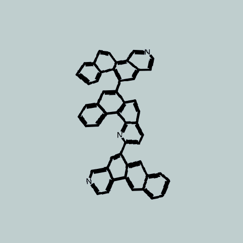 c1ccc2cc3c(cc2c1)c(-c1ccc2ccc4c(-c5cc6ccncc6c6ccc7ccccc7c56)cc5ccccc5c4c2n1)cc1cnccc13